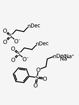 CCCCCCCCCCCCOS(=O)(=O)c1ccccc1.CCCCCCCCCCCCS(=O)(=O)[O-].CCCCCCCCCCCCS(=O)(=O)[O-].[Na+].[Na+]